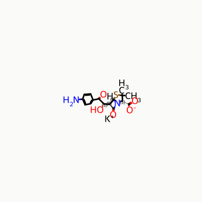 CC1(C)S[C@@H]2[C@H]([C@H](O)C(=O)c3ccc(N)cc3)C(=O)N2[C@H]1C(=O)[O-].[K+]